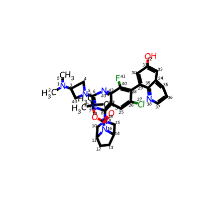 CN(C)C1CN(c2nc(N3CC4CCC(C3)N4C(=O)OC(C)(C)C)c3cc(Cl)c(-c4cc(O)cc5cccnc45)c(F)c3n2)C1